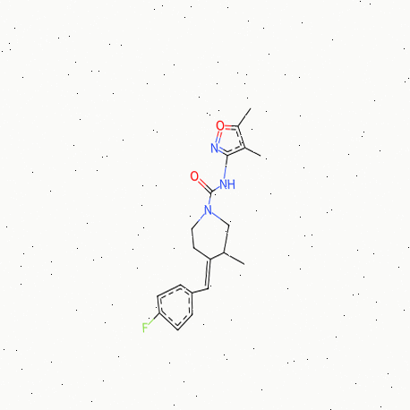 Cc1onc(NC(=O)N2CC/C(=C\c3ccc(F)cc3)C(C)C2)c1C